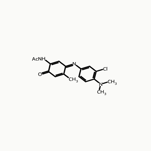 CC(=O)NC1=CC(=Nc2ccc(N(C)C)c(Cl)c2)C(C)=CC1=O